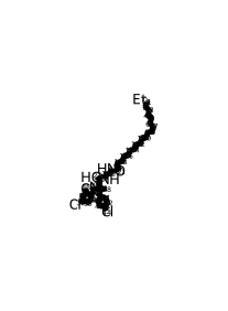 CC/C=C/C/C=C/C/C=C\C/C=C/C/C=C/C/C=C/CCC(=O)NCCNC(O)c1nn(-c2ccc(Cl)cc2Cl)c(-c2ccc(Cl)cc2)c1C